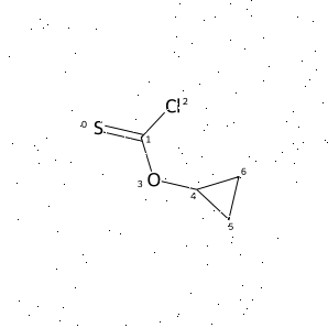 S=C(Cl)OC1CC1